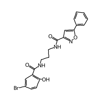 O=C(NCCCNC(=O)c1cc(Br)ccc1O)c1cc(-c2ccccc2)on1